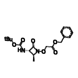 C[C@H]1[C@H](NC(=O)OC(C)(C)C)C(=O)N1OCC(=O)OCc1ccccc1